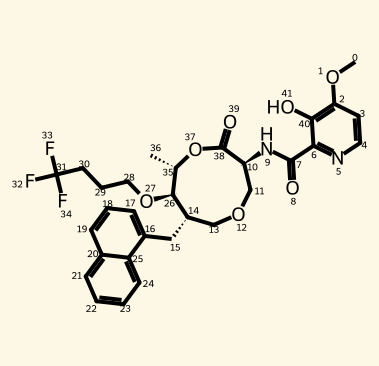 COc1ccnc(C(=O)N[C@H]2COC[C@H](Cc3cccc4ccccc34)[C@@H](OCCCC(F)(F)F)[C@H](C)OC2=O)c1O